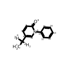 [2H]C([2H])(C)c1ccc(=O)n(-c2ccccc2)c1